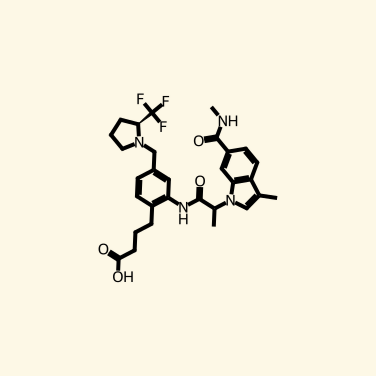 CNC(=O)c1ccc2c(C)cn(C(C)C(=O)Nc3cc(CN4CCC[C@H]4C(F)(F)F)ccc3CCCC(=O)O)c2c1